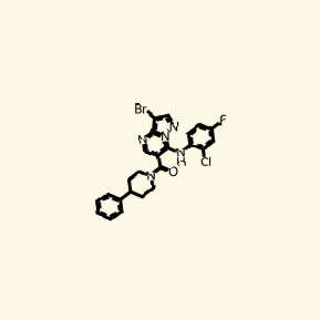 O=C(c1cnc2c(Br)cnn2c1Nc1ccc(F)cc1Cl)N1CCC(c2ccccc2)CC1